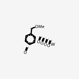 CO[C]c1ccccc1.[C]=O.[C]=O.[C]=O.[C]=O.[C]=O.[W]